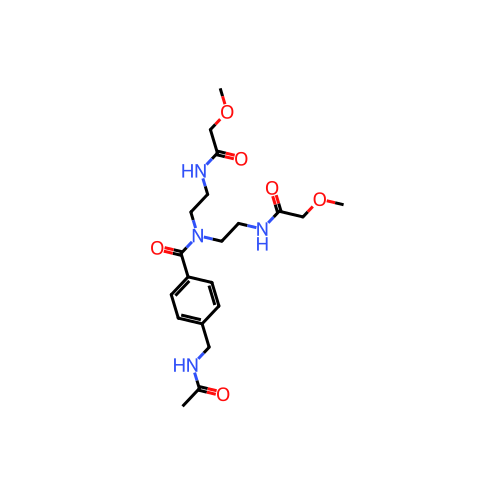 COCC(=O)NCCN(CCNC(=O)COC)C(=O)c1ccc(CNC(C)=O)cc1